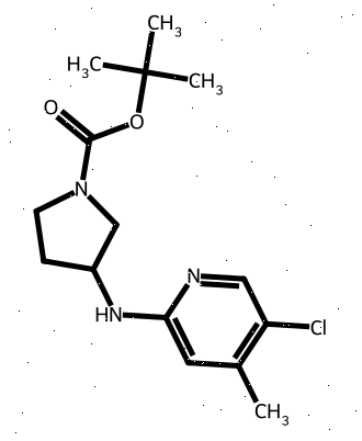 Cc1cc(NC2CCN(C(=O)OC(C)(C)C)C2)ncc1Cl